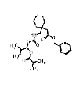 CC(C)C(=O)OC(OC(=O)NCC1(CC(=O)OCc2ccccc2)CCCCC1)C(C)C